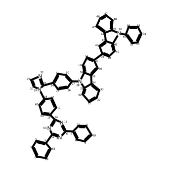 c1ccc(-c2nc(-c3ccccc3)nc(-c3ccc(-n4ccnc4-c4ccc(-n5c6ccccc6c6cc(-c7ccc8c(c7)c7ccccc7n8-c7ccccc7)ccc65)cc4)cc3)n2)cc1